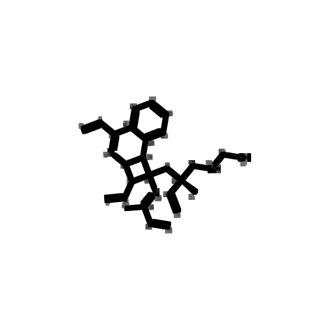 C=CC1=NC2C(C=C)C(C[C@@](C)(C=C)CNCO)(/N=C(\C)C=C)C2c2ccccc21